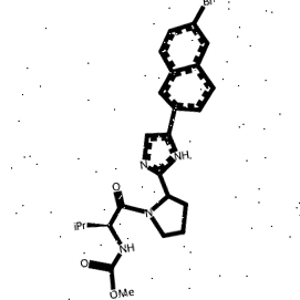 COC(=O)N[C@H](C(=O)N1CCCC1c1ncc(-c2ccc3cc(Br)ccc3c2)[nH]1)C(C)C